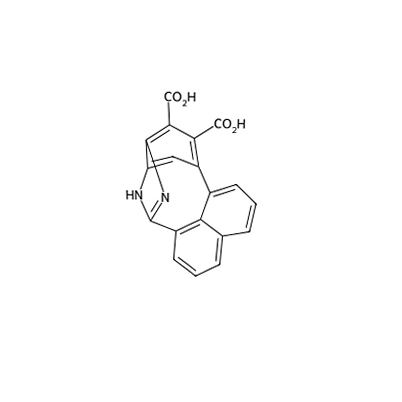 O=C(O)c1c2cc3[nH]c(nc3c1C(=O)O)-c1cccc3cccc-2c13